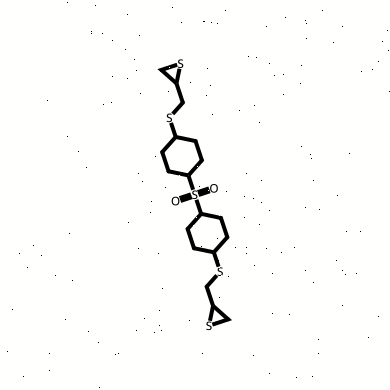 O=S(=O)(C1CCC(SCC2CS2)CC1)C1CCC(SCC2CS2)CC1